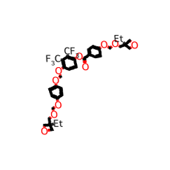 CCC1(COCOc2ccc(OCOc3ccc(OC(=O)c4ccc(OCOCC5(CC)COC5)cc4)c(C(F)(F)F)c3C(F)(F)F)cc2)COC1